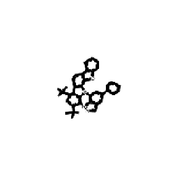 CC(C)(C)c1cc(C(C)(C)C)c2c3c1-c1ccc4c(oc5ccccc54)c1B3c1cc(-c3ccccc3)cc3cnn-2c13